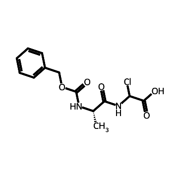 C[C@H](NC(=O)OCc1ccccc1)C(=O)NC(Cl)C(=O)O